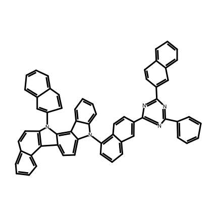 c1ccc(-c2nc(-c3ccc4ccccc4c3)nc(-c3ccc4c(-n5c6ccccc6c6c5ccc5c7c8ccccc8ccc7n(-c7ccc8ccccc8c7)c56)cccc4c3)n2)cc1